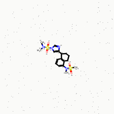 CN(c1cccc2c1CCCC2c1cn(S(=O)(=O)N(C)C)cn1)S(C)(=O)=O